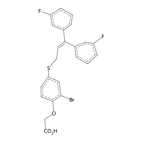 O=C(O)COc1ccc(SCC=C(c2cccc(F)c2)c2cccc(F)c2)cc1Br